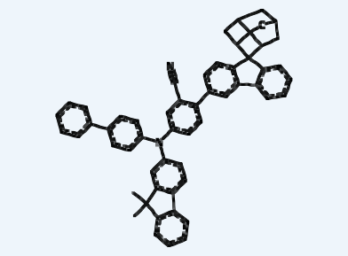 CC1(C)c2ccccc2-c2ccc(N(c3ccc(-c4ccccc4)cc3)c3ccc(-c4ccc5c(c4)-c4ccccc4C54C5CC6CC7CC4C75C6)c(C#N)c3)cc21